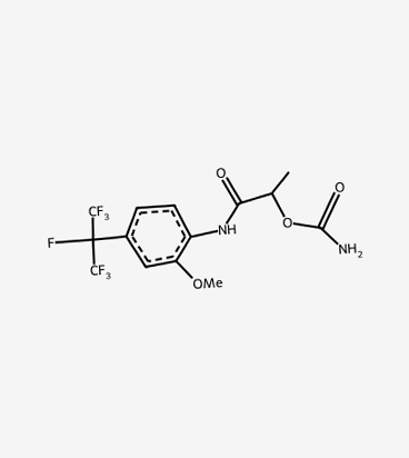 COc1cc(C(F)(C(F)(F)F)C(F)(F)F)ccc1NC(=O)C(C)OC(N)=O